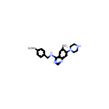 CC(=O)Nc1ccc(CNc2ncnc3cc(N4CCNCC4)c([N+](=O)[O-])cc23)cc1